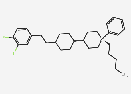 CCCCC[Si@]1(c2ccccc2)CC[C@H](C2CCC(CCc3ccc(F)c(F)c3)CC2)CC1